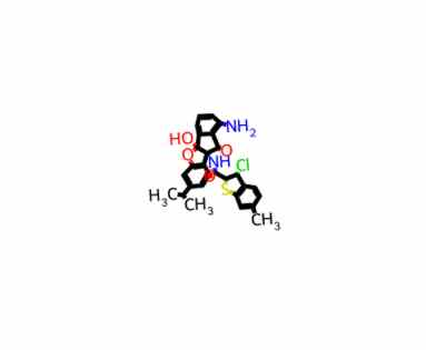 Cc1ccc2c(c1)SC(C(=O)NC13C(=O)c4c(N)cccc4C1(O)Oc1cc(C(C)C)ccc13)C2Cl